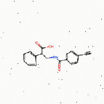 [C]#Cc1ccc(C(=O)NCC(C(=O)O)c2ccccc2)cc1